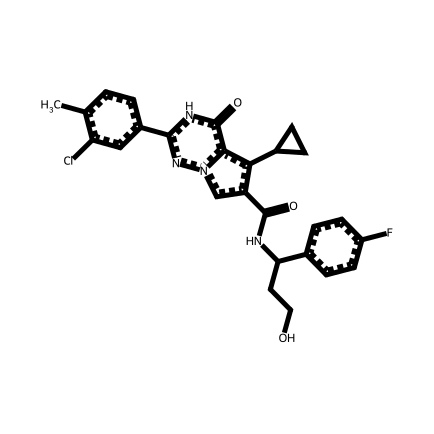 Cc1ccc(-c2nn3cc(C(=O)NC(CCO)c4ccc(F)cc4)c(C4CC4)c3c(=O)[nH]2)cc1Cl